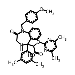 COc1ccc(CN2C(=O)CNC(c3cc(C)cc(C)c3)(C(Oc3nc(C)cc(C)n3)C(=O)O)c3ccccc32)cc1